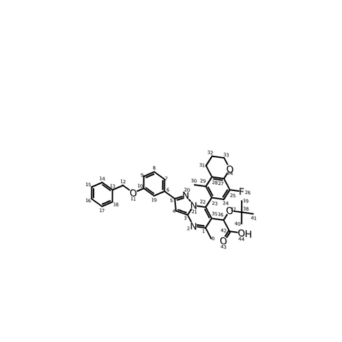 Cc1nc2cc(-c3cccc(OCc4ccccc4)c3)nn2c(-c2cc(F)c3c(c2C)CCCO3)c1C(OC(C)(C)C)C(=O)O